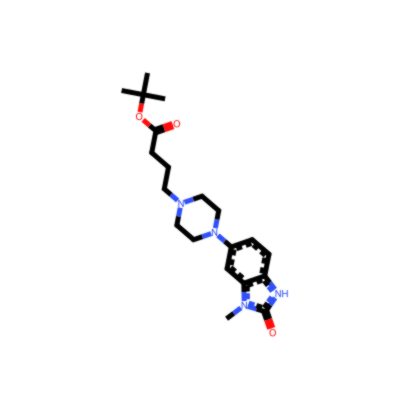 Cn1c(=O)[nH]c2ccc(N3CCN(CCCC(=O)OC(C)(C)C)CC3)cc21